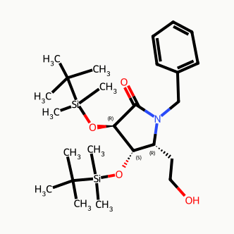 CC(C)(C)[Si](C)(C)O[C@H]1[C@@H](CCO)N(Cc2ccccc2)C(=O)[C@@H]1O[Si](C)(C)C(C)(C)C